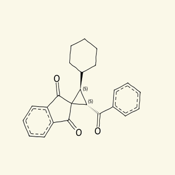 O=C(c1ccccc1)[C@H]1[C@H](C2CCCCC2)C12C(=O)c1ccccc1C2=O